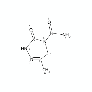 CC1=NNC(=O)N(C(N)=O)C1